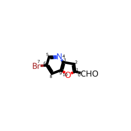 O=Cc1cc2ncc(Br)cc2o1